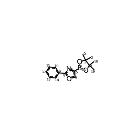 CC1(C)OB(c2coc(-c3ccccc3)n2)OC1(C)C